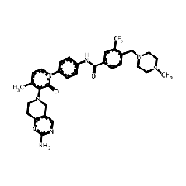 Cc1ccn(-c2ccc(NC(=O)c3ccc(CN4CCN(C)CC4)c(C(F)(F)F)c3)cc2)c(=O)c1N1CCc2nc(N)ncc2C1